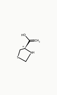 C=C(O)[C@@H]1CSCN1